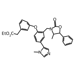 CCOC(=O)Cc1cccc(Oc2ccc(-c3cncn3C)cc2CN2C(=O)OC(c3ccccc3)C2C)c1